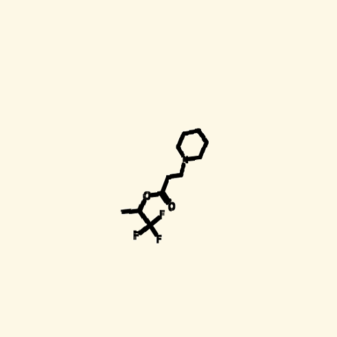 CC(OC(=O)CCN1CCCCC1)C(F)(F)F